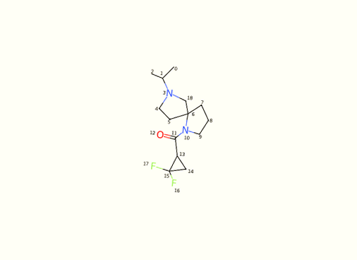 CC(C)N1CCC2(CCCN2C(=O)C2CC2(F)F)C1